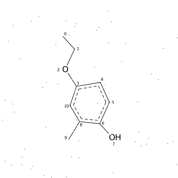 CCOc1ccc(O)c(C)c1